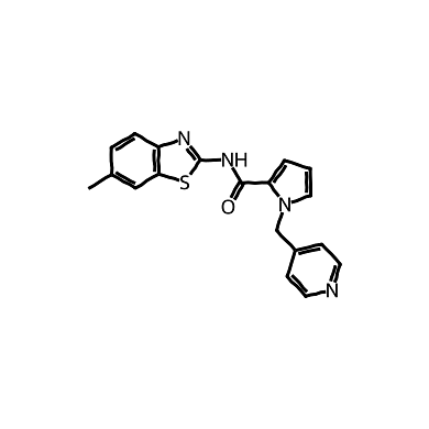 Cc1ccc2nc(NC(=O)c3cccn3Cc3ccncc3)sc2c1